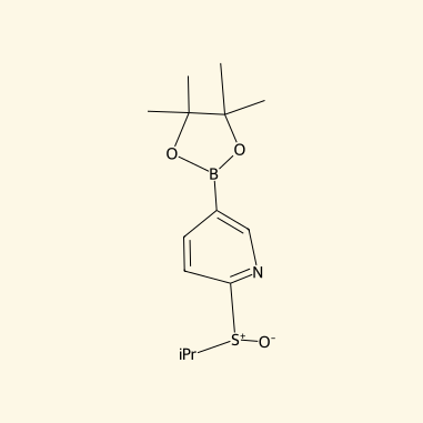 CC(C)[S+]([O-])c1ccc(B2OC(C)(C)C(C)(C)O2)cn1